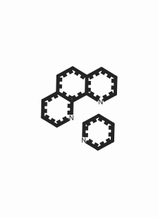 c1ccncc1.c1cnc2c(c1)ccc1cccnc12